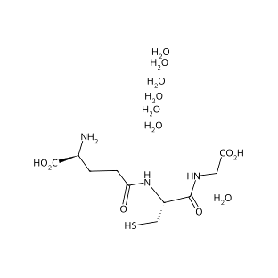 N[C@@H](CCC(=O)N[C@@H](CS)C(=O)NCC(=O)O)C(=O)O.O.O.O.O.O.O.O